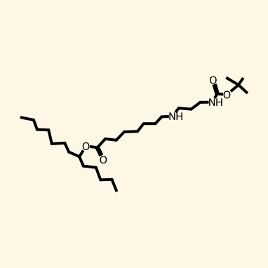 CCCCCCCC(CCCCC)OC(=O)CCCCCCCNCCCNC(=O)OC(C)(C)C